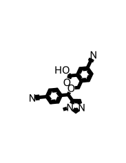 Cn1cncc1C(OCc1ccc(C#N)cc1C(=O)O)c1ccc(C#N)cc1